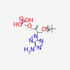 C=C(COCP(=O)(O)O)C(CO[Si](C)(C)C(C)(C)C)n1cnc2c(N)ncnc21